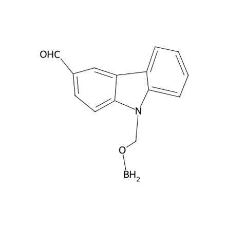 BOCn1c2ccccc2c2cc(C=O)ccc21